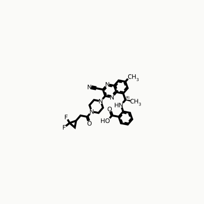 Cc1cc([C@@H](C)Nc2ccccc2C(=O)O)c2nc(N3CCN(C(=O)CC4CC4(F)F)CC3)c(C#N)nc2c1